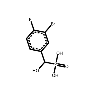 O=P(O)(O)C(O)c1ccc(F)c(Br)c1